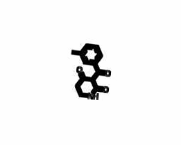 Cc1cccc(C(=O)C2C(=O)CCNC2=O)c1